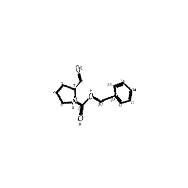 O=[C][C@@H]1CCCN1C(=O)OCc1ccccc1